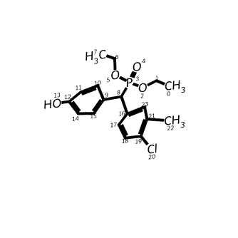 CCOP(=O)(OCC)C(c1ccc(O)cc1)c1ccc(Cl)c(C)c1